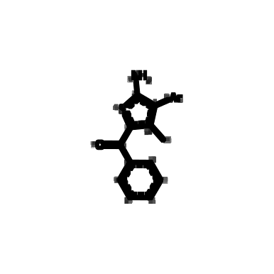 CC(=O)c1c(N)sc(C(=O)c2ccccc2)c1C